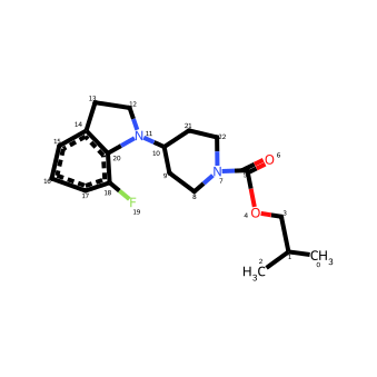 CC(C)COC(=O)N1CCC(N2CCc3cccc(F)c32)CC1